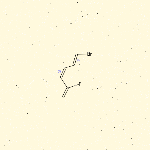 C=C(F)/C=C\C=C\Br